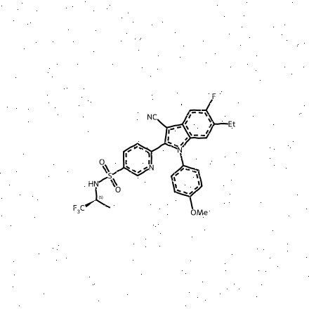 CCc1cc2c(cc1F)c(C#N)c(-c1ccc(S(=O)(=O)N[C@@H](C)C(F)(F)F)cn1)n2-c1ccc(OC)cc1